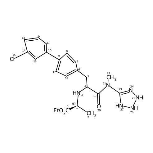 CCOC(=O)[C@H](C)NC(Cc1ccc(-c2cccc(Cl)c2)cc1)C(=O)N(C)C1=NNNN1